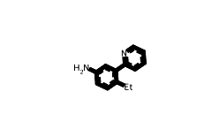 CCc1ccc(N)cc1-c1ccccn1